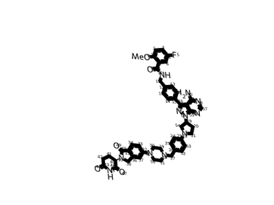 COc1ccc(F)cc1C(=O)NCc1ccc(-c2nn(C3CCN(c4ccc(CN5CCN(c6ccc7c(c6)CN([C@H]6CCC(=O)NC6=O)C7=O)CC5)cc4)C3)c3ncnc(N)c23)cc1